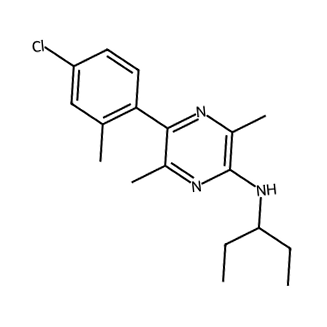 CCC(CC)Nc1nc(C)c(-c2ccc(Cl)cc2C)nc1C